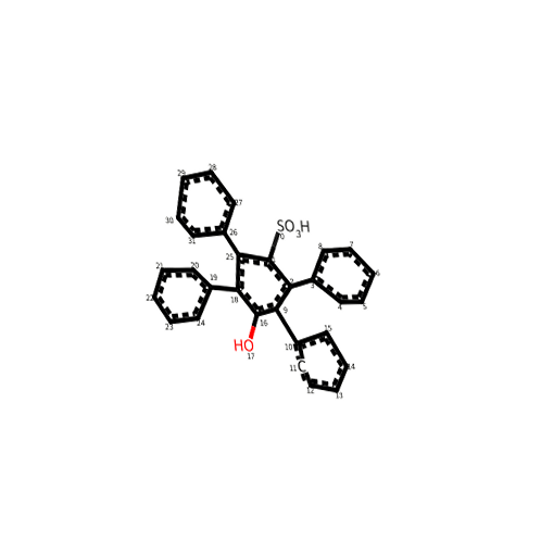 O=S(=O)(O)c1c(-c2ccccc2)c(-c2ccccc2)c(O)c(-c2ccccc2)c1-c1ccccc1